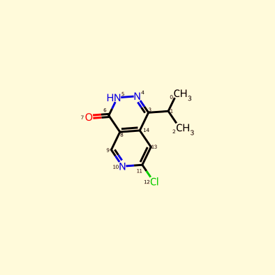 CC(C)c1n[nH]c(=O)c2cnc(Cl)cc12